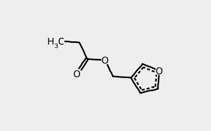 CCC(=O)OCc1ccoc1